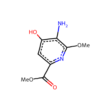 COC(=O)c1cc(O)c(N)c(OC)n1